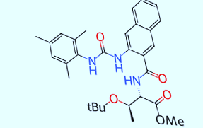 COC(=O)[C@@H](NC(=O)c1cc2ccccc2cc1NC(=O)Nc1c(C)cc(C)cc1C)[C@@H](C)OC(C)(C)C